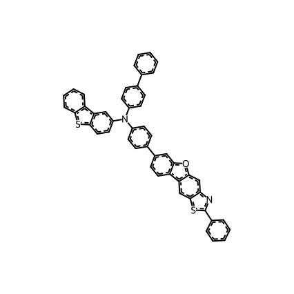 c1ccc(-c2ccc(N(c3ccc(-c4ccc5c(c4)oc4cc6nc(-c7ccccc7)sc6cc45)cc3)c3ccc4sc5ccccc5c4c3)cc2)cc1